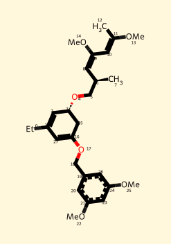 CCC1=C[C@H](OC[C@H](C)/C=C(\C=C(/C)OC)OC)CC(OCc2cc(OC)cc(OC)c2)=C1